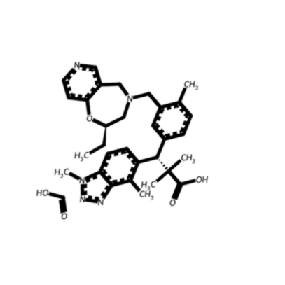 CC[C@@H]1CN(Cc2cc([C@@H](c3ccc4c(nnn4C)c3C)C(C)(C)C(=O)O)ccc2C)Cc2cnccc2O1.O=CO